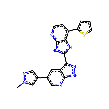 Cn1cc(-c2cnc3[nH]nc(-c4nc5c(-c6cccs6)ccnc5[nH]4)c3c2)cn1